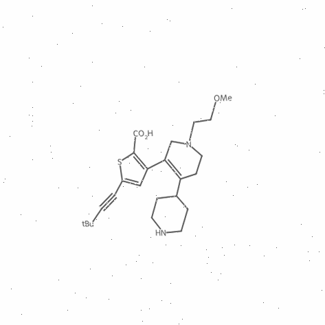 COCCN1CCC(C2CCNCC2)=C(c2cc(C#CC(C)(C)C)sc2C(=O)O)C1